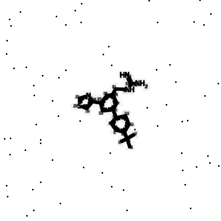 CC(C)(C)c1ccc(-c2cc(CNC(=N)N)cc(-c3cscn3)c2)cc1